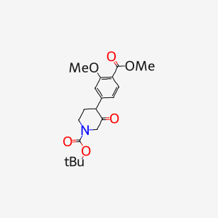 COC(=O)c1ccc(C2CCN(C(=O)OC(C)(C)C)CC2=O)cc1OC